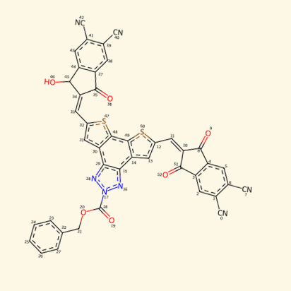 N#Cc1cc2c(cc1C#N)C(=O)C(=Cc1cc3c4nn(C(=O)OCc5ccccc5)nc4c4cc(/C=C5\C(=O)c6cc(C#N)c(C#N)cc6C5O)sc4c3s1)C2=O